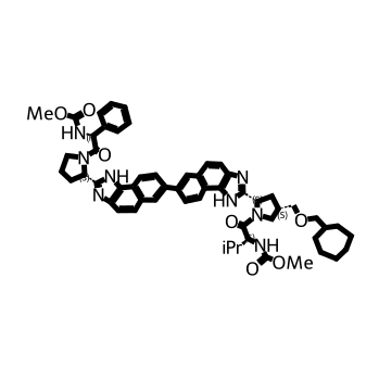 COC(=O)N[C@H](C(=O)N1C[C@@H](COCC2CCCCCC2)C[C@H]1c1nc2ccc3cc(-c4ccc5c(ccc6nc([C@@H]7CCCN7C(=O)[C@H](NC(=O)OC)c7ccccc7)[nH]c65)c4)ccc3c2[nH]1)C(C)C